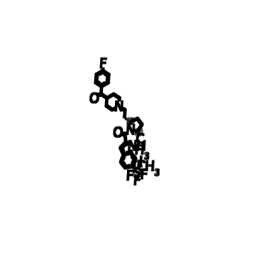 C[C@H]1CC[C@@H](CCN2CCC(C(=O)c3ccc(F)cc3)CC2)N1C(=O)c1cc2ccc([SH](C)(F)(F)F)cc2[nH]1